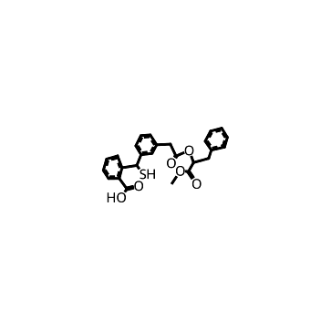 COC(=O)C(Cc1ccccc1)OC(=O)Cc1cccc(C(S)c2ccccc2C(=O)O)c1